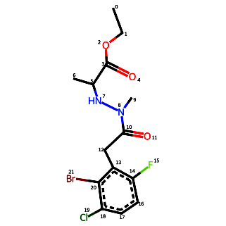 CCOC(=O)C(C)NN(C)C(=O)Cc1c(F)ccc(Cl)c1Br